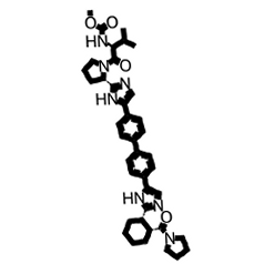 COC(=O)N[C@H](C(=O)N1CCC[C@H]1c1ncc(-c2ccc(-c3ccc(-c4cnc([C@H]5CCCC[C@H]5C(=O)N5CCCC5)[nH]4)cc3)cc2)[nH]1)C(C)C